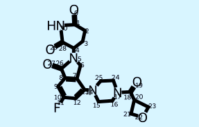 O=C1CCC(N2Cc3c(cc(F)cc3N3CCN(C(=O)C4COC4)CC3)C2=O)C(=O)N1